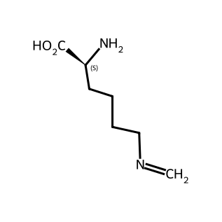 C=NCCCC[C@H](N)C(=O)O